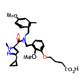 COc1ccc(CN(Cc2cccc(OCCCC(=O)O)c2OC)C(=O)c2cc(C3CC3)nn2C)c(C)c1